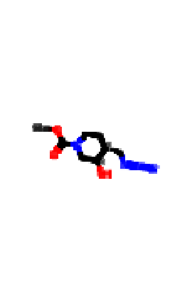 CC(C)(C)OC(=O)N1CC[C@H](CN=[N+]=[N-])[C@@H](O)C1